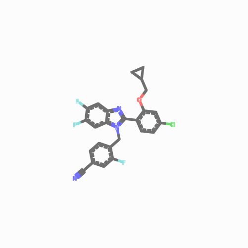 N#Cc1ccc(Cn2c(-c3ccc(Cl)cc3OCC3CC3)nc3cc(F)c(F)cc32)c(F)c1